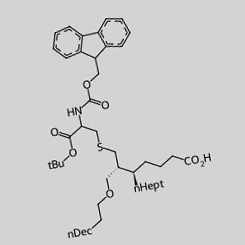 CCCCCCCCCCCCOC[C@H](CSCC(NC(=O)OCC1c2ccccc2-c2ccccc21)C(=O)OC(C)(C)C)[C@H](CCCCCCC)CCCC(=O)O